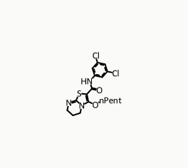 CCCCCOC1=C(C(=O)Nc2cc(Cl)cc(Cl)c2)SC2=NCCCN21